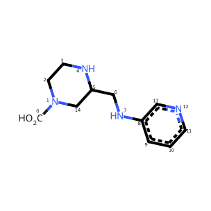 O=C(O)N1CCNC(CNc2cccnc2)C1